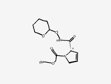 CC(C)(C)OC(=O)N1CC=C[C@H]1C(=O)NOC1CCCCO1